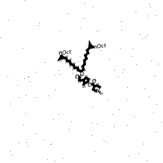 CCCCCCCCC1CC1CCCCCCCCC(CCCCCCCCC1CC1CCCCCCCC)OC(=O)CC1CCC(OC(=O)C2CCN(C)CC2)C1C